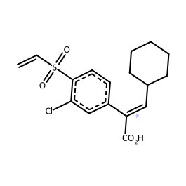 C=CS(=O)(=O)c1ccc(/C(=C\C2CCCCC2)C(=O)O)cc1Cl